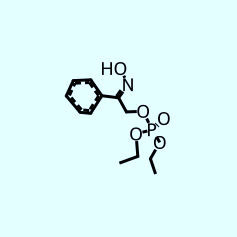 CCOP(=O)(OCC)OC/C(=N/O)c1ccccc1